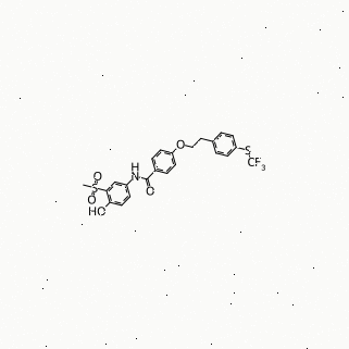 CS(=O)(=O)c1cc(NC(=O)c2ccc(OCCc3ccc(SC(F)(F)F)cc3)cc2)ccc1O